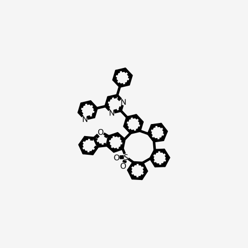 O=S1(=O)c2ccccc2-c2ccccc2-c2ccccc2-c2ccc(-c3nc(-c4ccccc4)cc(-c4cccnc4)n3)cc2-c2cc3oc4ccccc4c3cc21